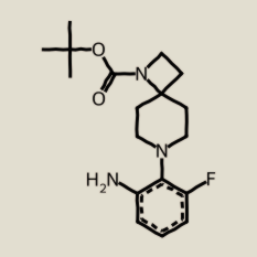 CC(C)(C)OC(=O)N1CCC12CCN(c1c(N)cccc1F)CC2